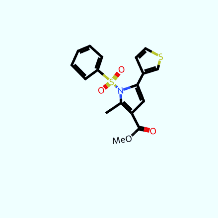 COC(=O)c1cc(-c2ccsc2)n(S(=O)(=O)c2ccccc2)c1C